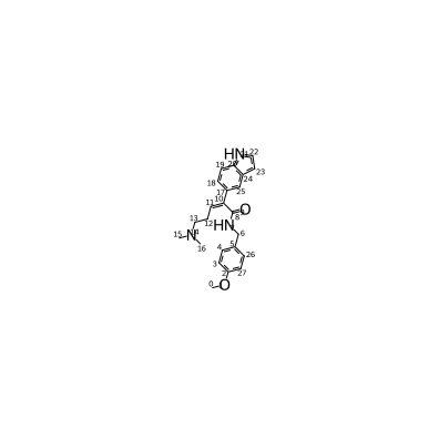 COc1ccc(CNC(=O)C(=CCCN(C)C)c2ccc3[nH]ccc3c2)cc1